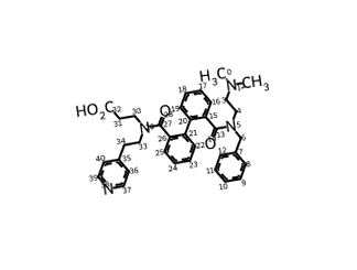 CN(C)CCN(Cc1ccccc1)C(=O)c1ccccc1-c1ccccc1C(=O)N(CCC(=O)O)CCc1ccncc1